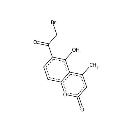 Cc1cc(=O)oc2ccc(C(=O)CBr)c(O)c12